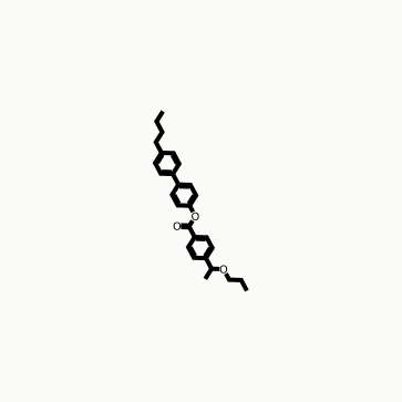 CCCCc1ccc(-c2ccc(OC(=O)c3ccc(C(C)OCCC)cc3)cc2)cc1